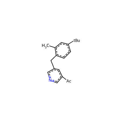 CC(=O)c1cncc(Cc2ccc(C(C)(C)C)cc2C)c1